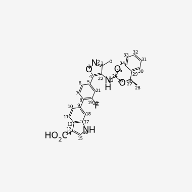 Cc1noc(-c2ccc(-c3ccc4c(C(=O)O)c[nH]c4c3)c(F)c2)c1NC(=O)O[C@H](C)c1ccccc1